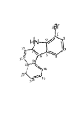 Brc1cccc2c3c([nH]c12)C=CC1CC=CC=C31